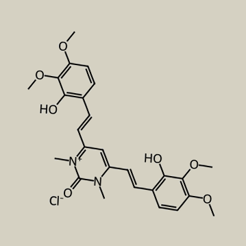 COc1ccc(C=Cc2cc(C=Cc3ccc(OC)c(OC)c3O)[n+](C)c(=O)n2C)c(O)c1OC.[Cl-]